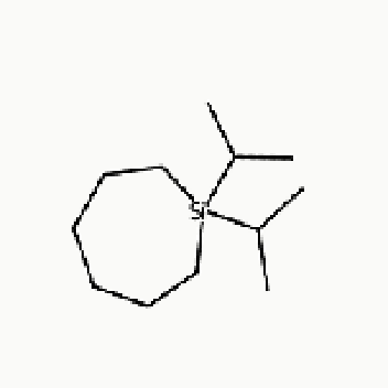 CC(C)[Si]1(C(C)C)CCCCCC1